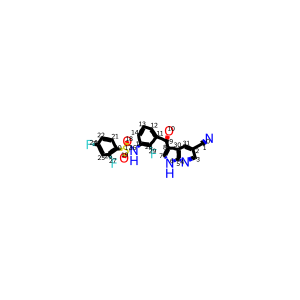 N#Cc1cnc2[nH]cc(C(=O)c3cccc(NS(=O)(=O)c4ccc(F)cc4F)c3F)c2c1